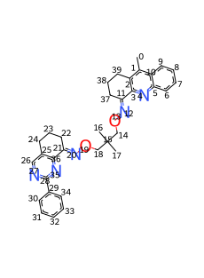 Cc1c2c(nc3ccccc13)/C(=N/OCC(C)(C)CO/N=C1\CCCc3cnc(-c4ccccc4)nc31)CCC2